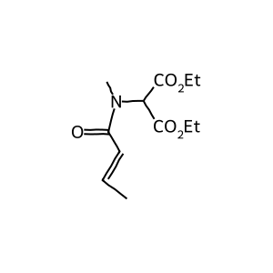 C/C=C/C(=O)N(C)C(C(=O)OCC)C(=O)OCC